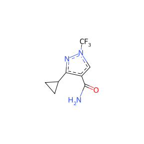 NC(=O)c1cn(C(F)(F)F)nc1C1CC1